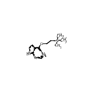 C[Si](C)(C)CCOc1ncnc2[nH]ccc12